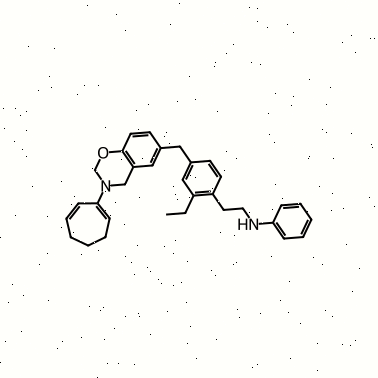 CCc1cc(Cc2ccc3c(c2)CN(C2=CCCCC=C2)CO3)ccc1CCNc1ccccc1